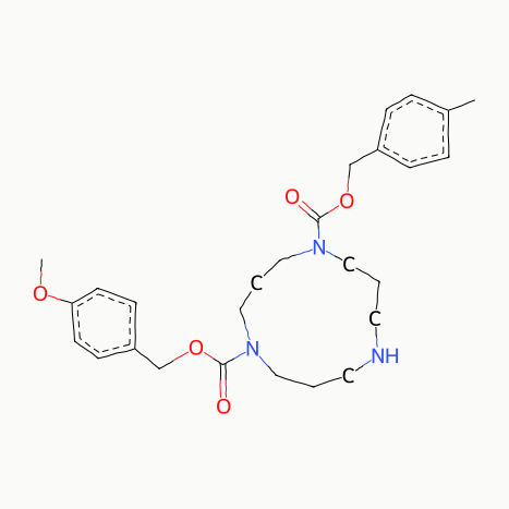 COc1ccc(COC(=O)N2CCCNCCCN(C(=O)OCc3ccc(C)cc3)CCC2)cc1